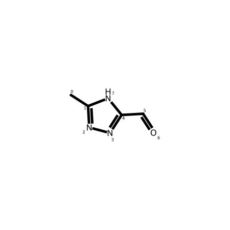 Cc1nnc(C=O)[nH]1